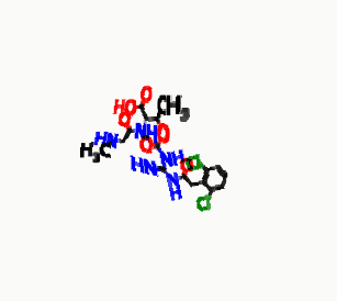 CNCC(=O)N[C@H](C(=O)O)[C@@H](C)OC(=O)NC(=N)NC(=O)Cc1c(Cl)cccc1Cl